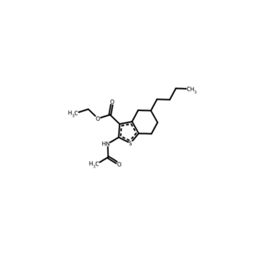 CCCCC1CCc2sc(NC(C)=O)c(C(=O)OCC)c2C1